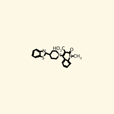 Cn1c(=O)c(C(=O)O)c(N2CCC(c3nc4ccccc4s3)CC2)c2ccccc21